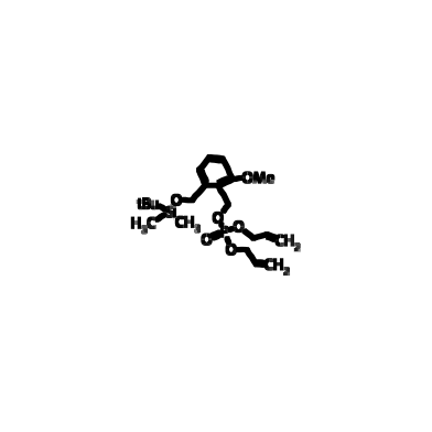 C=CCOP(=O)(OCC=C)OCc1c(CO[Si](C)(C)C(C)(C)C)cccc1OC